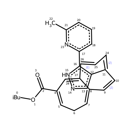 CCC(C)OC(=O)C1=CCC=C2\C=C/C(c3cn[nH]c3-c3cccc(C)n3)=C/C=C/C2=C1